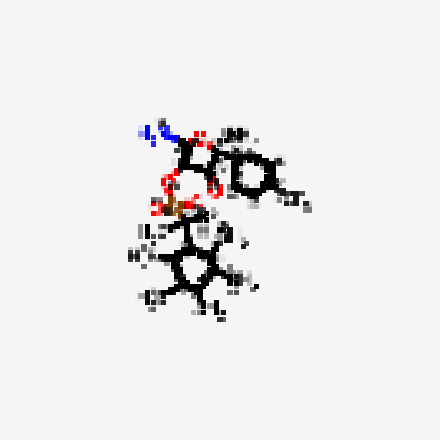 Bc1c(B)c(B)c(C(B)(B)S(=O)(=O)OC2=C(N)O[C@@](B)(c3ccc(C(F)(F)F)cc3)C2=O)c(B)c1B